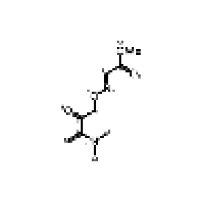 C=C(C(=O)CON=CC(=O)OC)N(C)C